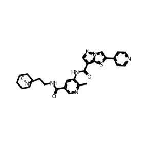 Cc1ncc(C(=O)NCCN2CC3CCC2CC3)cc1NC(=O)c1cnn2cc(-c3ccncc3)sc12